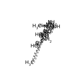 CCCCCCCCCCCCC(CCSC[C@H](N)C(=O)N[C@@H](CO)C(=O)Nc1ccc(Cn2c(O)nc3c(N)nc(NCCCC)nc32)cc1)C(=O)O